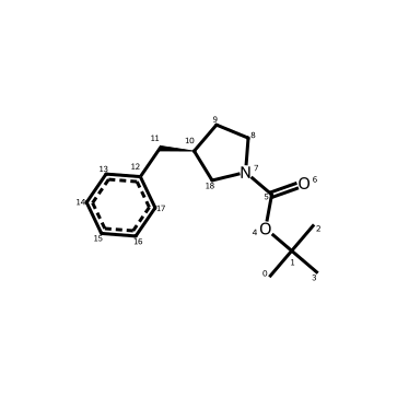 CC(C)(C)OC(=O)N1CC[C@H](Cc2ccccc2)C1